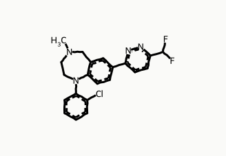 CN1CCN(c2ccccc2Cl)c2ccc(-c3ccc(C(F)F)nn3)cc2C1